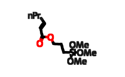 CCCC=CC(=O)OCCC[Si](OC)(OC)OC